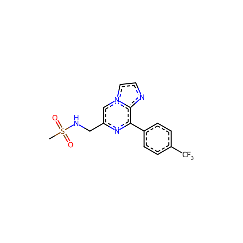 CS(=O)(=O)NCc1cn2ccnc2c(-c2ccc(C(F)(F)F)cc2)n1